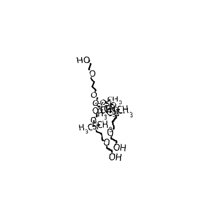 C[Si](C)(CCCOCCO)OCO[Si@@](C)(OCOCCCCOCCO)O[Si](C)(C)O[Si](C)(C)CCCOCCO